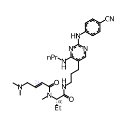 CCCNc1nc(Nc2ccc(C#N)cc2)ncc1CCCNC(=O)[C@H](CC)N(C)C(=O)/C=C/CN(C)C